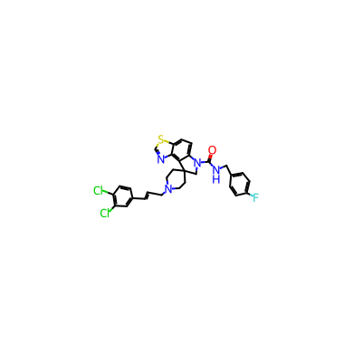 O=C(NCc1ccc(F)cc1)N1CC2(CCN(CC=Cc3ccc(Cl)c(Cl)c3)CC2)c2c1ccc1scnc21